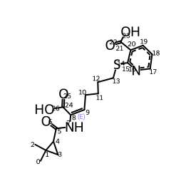 CC1(C)CC1C(=O)N/C(=C/CCCCSc1ncccc1C(=O)O)C(=O)O